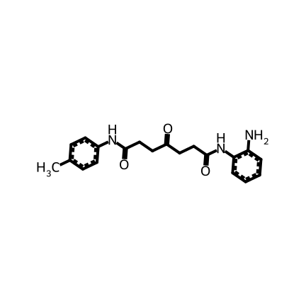 Cc1ccc(NC(=O)CCC(=O)CCC(=O)Nc2ccccc2N)cc1